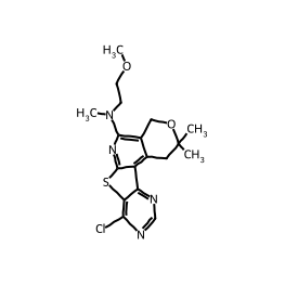 COCCN(C)c1nc2sc3c(Cl)ncnc3c2c2c1COC(C)(C)C2